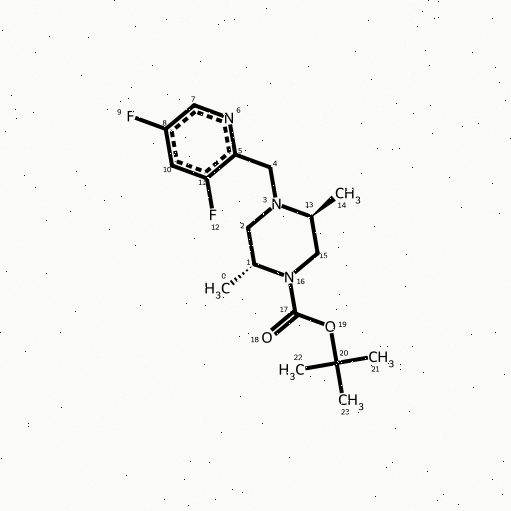 C[C@@H]1CN(Cc2ncc(F)cc2F)[C@@H](C)CN1C(=O)OC(C)(C)C